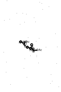 CC(=O)OCCCS(=O)(=O)NC(=O)c1ccc(-c2ccc(OCCN(C[C@H](O)c3cccnc3)C(=O)OC(C)(C)C)cc2)cc1OC1CCCCC1